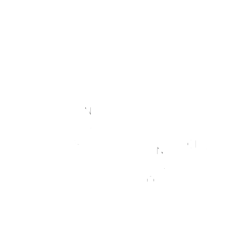 Cc1ccccc1C(=O)Nc1ccc(C(=O)N2CCc3ccccc3-c3ccccc32)cc1